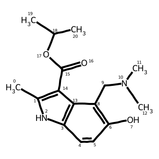 Cc1[nH]c2ccc(O)c(CN(C)C)c2c1C(=O)OC(C)C